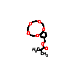 C=C(C)C(=O)OCc1ccc2c(c1)OCCOCCOCCOCCO2